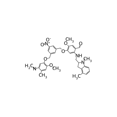 C=Nc1cc(OCc2cc(COc3cc(NCC4Cc5c(C)cccc5N4C)c(C=O)cc3OC)cc([N+](=O)[O-])c2)c(OC)cc1C